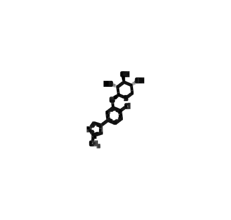 Cn1cc(-c2ccc(Cl)c(O[C@@H]3SC[C@@H](O)[C@H](O)[C@H]3O)c2)cn1